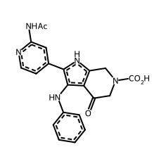 CC(=O)Nc1cc(-c2[nH]c3c(c2Nc2ccccc2)C(=O)CN(C(=O)O)C3)ccn1